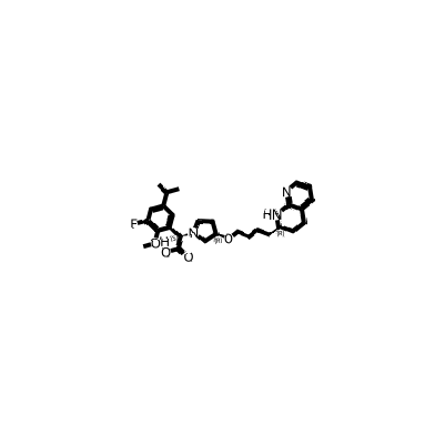 COc1c(F)cc(C(C)C)cc1[C@@H](C(=O)O)N1CC[C@@H](OCCCC[C@@H]2CCc3cccnc3N2)C1